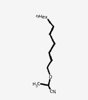 CCCCCCCCCCCCOC(C)C#N